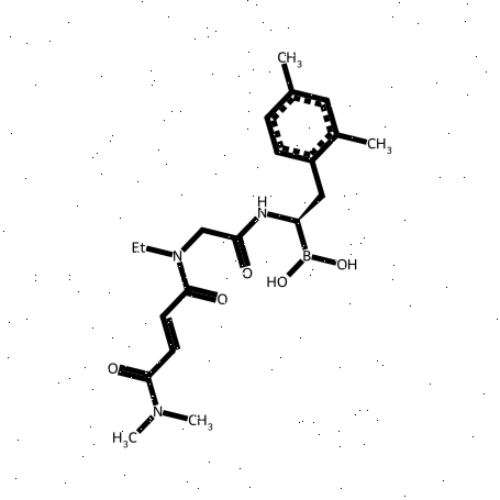 CCN(CC(=O)N[C@@H](Cc1ccc(C)cc1C)B(O)O)C(=O)/C=C/C(=O)N(C)C